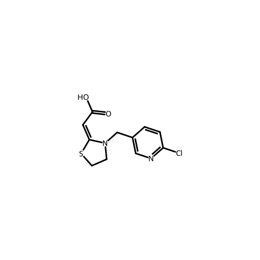 O=C(O)/C=C1/SCCN1Cc1ccc(Cl)nc1